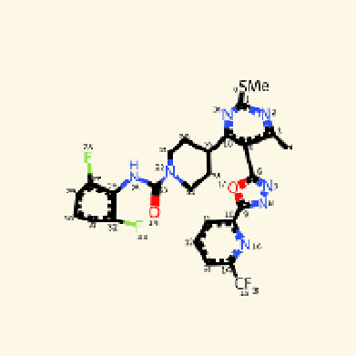 CSc1nc(C)c(-c2nnc(-c3cccc(C(F)(F)F)n3)o2)c(C2CCN(C(=O)Nc3c(F)cccc3F)CC2)n1